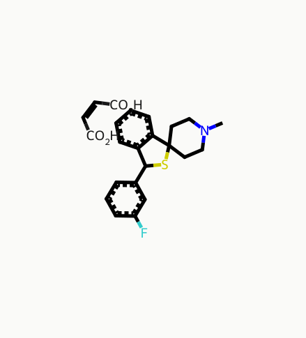 CN1CCC2(CC1)SC(c1cccc(F)c1)c1ccccc12.O=C(O)/C=C\C(=O)O